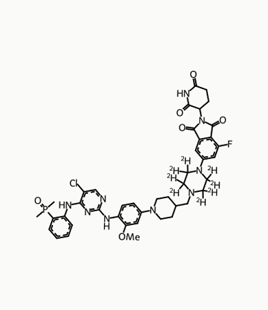 [2H]C1([2H])N(CC2CCN(c3ccc(Nc4ncc(Cl)c(Nc5ccccc5P(C)(C)=O)n4)c(OC)c3)CC2)C([2H])([2H])C([2H])([2H])N(c2cc(F)c3c(c2)C(=O)N(C2CCC(=O)NC2=O)C3=O)C1([2H])[2H]